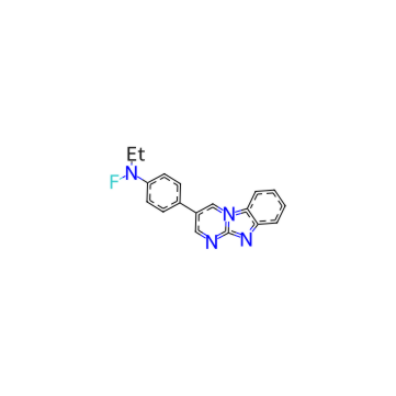 CCN(F)c1ccc(-c2cnc3nc4ccccc4n3c2)cc1